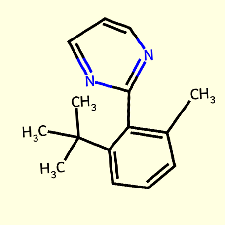 Cc1cccc(C(C)(C)C)c1-c1ncccn1